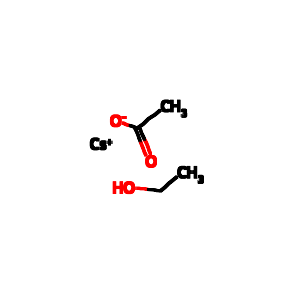 CC(=O)[O-].CCO.[Cs+]